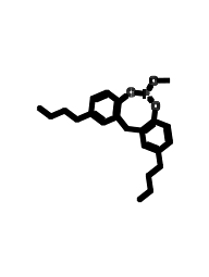 CCCCc1ccc2c(c1)Cc1cc(CCCC)ccc1OP(OC)O2